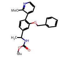 COc1ncccc1-c1ccc(C(C)NC(=O)OC(C)(C)C)cc1OCc1ccccc1